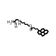 N=C(N)/C=C\NCCCCCCOC(=O)CCCc1ccc2ccc3cccc4ccc1c2c34